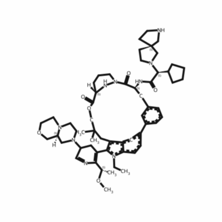 CCn1c(C2=C([C@H](C)OC)N=CC(N3CCN4CCOC[C@@H]4C3)C2)c2c3cc(ccc31)-c1cccc(c1)C[C@H](NC(=O)[C@H](C1CCCC1)N1CC[C@]3(CCNC3)C1)C(=O)N1CCC[C@H](N1)C(=O)OCC(C)(C)C2